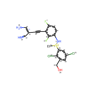 CC[SH](Nc1ccc(F)c(C#C/C(C=N)=C/N)c1F)c1cc(Cl)cc(CO)c1Cl